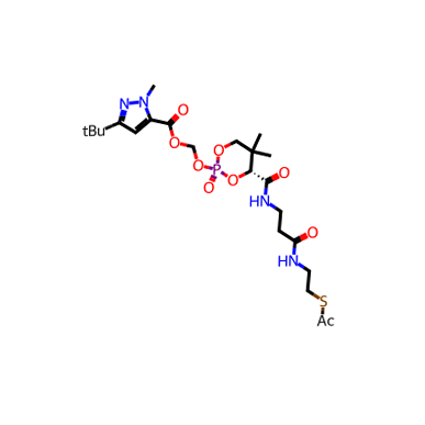 CC(=O)SCCNC(=O)CCNC(=O)[C@@H]1OP(=O)(OCOC(=O)c2cc(C(C)(C)C)nn2C)OCC1(C)C